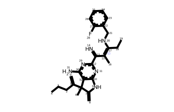 C=C(CCC)C1(C)C(=C)Nc2nc(C(=N)/C(C)=C(/CC)NCc3ccccc3F)nc(N)c21